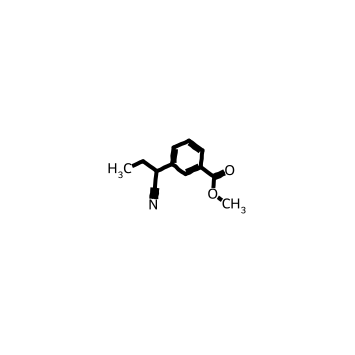 CCC(C#N)c1cccc(C(=O)OC)c1